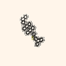 c1ccc2c(c1)ccc1ccc(-c3c4ccccc4c(-c4c5ccccc5c(-c5ccc6c(c5)sc5cc7c8ccccc8c8ccccc8c7cc56)c5ccccc45)c4ccccc34)cc12